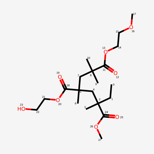 CCC(C)(CC(C)(CC(C)(C)C(=O)OCCOC)C(=O)OCCO)C(=O)OC